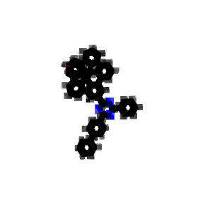 c1ccc(-c2ccc(-c3nc(-c4ccccc4)nc(-c4ccc5c(c4)-c4ccccc4C(c4ccccc4)(c4ccccc4)C5(c4ccccc4)c4ccccc4)n3)cc2)cc1